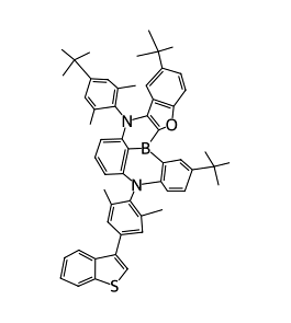 Cc1cc(-c2csc3ccccc23)cc(C)c1N1c2ccc(C(C)(C)C)cc2B2c3oc4ccc(C(C)(C)C)cc4c3N(c3c(C)cc(C(C)(C)C)cc3C)c3cccc1c32